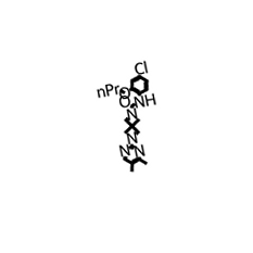 CCCOc1cc(Cl)ccc1NC(=O)N1CC2(C1)CN(c1ncc(C)c(C)n1)C2